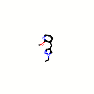 CCn1cc(Cc2cccnc2OC)cn1